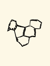 C1=CC2=CC3C=CC=C4C3=C(c3ccccc34)N2C=C1